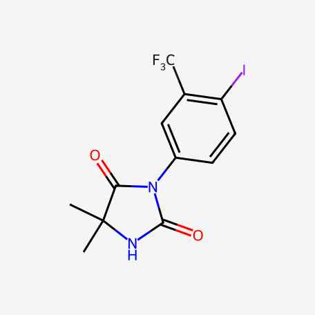 CC1(C)NC(=O)N(c2ccc(I)c(C(F)(F)F)c2)C1=O